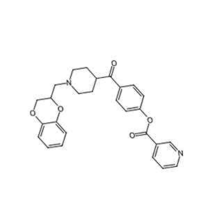 O=C(Oc1ccc(C(=O)C2CCN(CC3COc4ccccc4O3)CC2)cc1)c1cccnc1